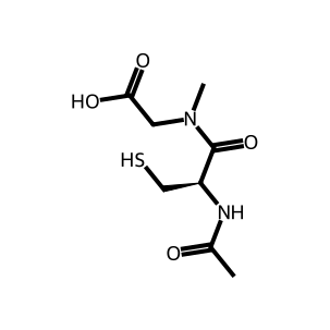 CC(=O)N[C@@H](CS)C(=O)N(C)CC(=O)O